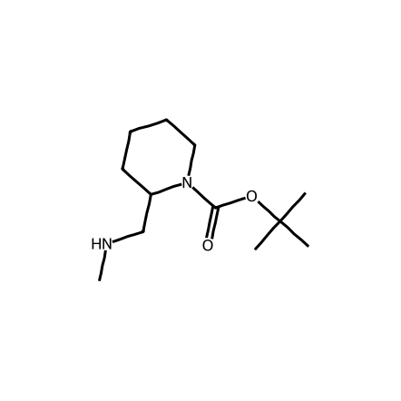 CNCC1CCCCN1C(=O)OC(C)(C)C